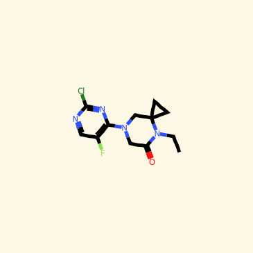 CCN1C(=O)CN(c2nc(Cl)ncc2F)CC12CC2